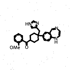 COc1ccccc1C(=O)C1CCC(Cc2c[nH]cn2)(c2ccc3c(c2)C=NC=CN3)CC1